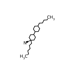 CCCCCCC1(C#N)CCC(C2CCC(CCCCC)CC2)CC1